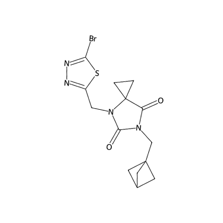 O=C1N(CC23CC(C2)C3)C(=O)C2(CC2)N1Cc1nnc(Br)s1